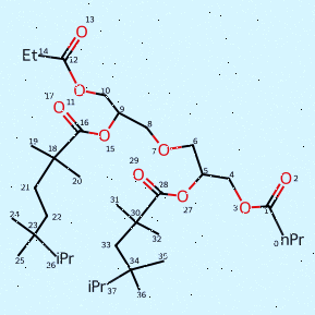 CCCC(=O)OCC(COCC(COC(=O)CC)OC(=O)C(C)(C)CCC(C)(C)C(C)C)OC(=O)C(C)(C)CC(C)(C)C(C)C